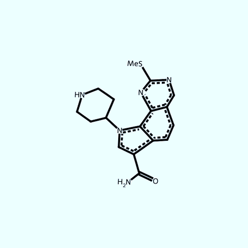 CSc1ncc2ccc3c(C(N)=O)cn(C4CCNCC4)c3c2n1